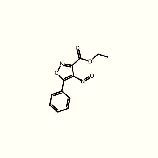 CCOC(=O)c1noc(-c2ccccc2)c1N=O